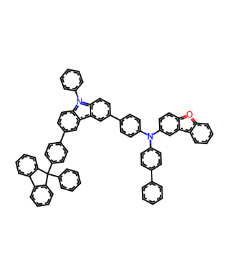 c1ccc(-c2ccc(N(c3ccc(-c4ccc5c(c4)c4cc(-c6ccc(C7(c8ccccc8)c8ccccc8-c8ccccc87)cc6)ccc4n5-c4ccccc4)cc3)c3ccc4oc5ccccc5c4c3)cc2)cc1